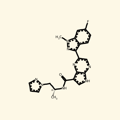 C[C@H](Cn1cccn1)NC(=O)c1c[nH]c2ncc(-c3nn(C)c4cc(F)ccc34)nc12